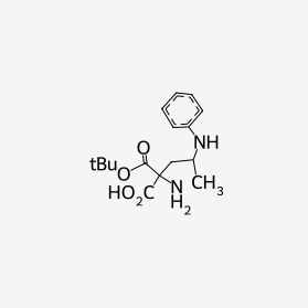 CC(CC(N)(C(=O)O)C(=O)OC(C)(C)C)Nc1ccccc1